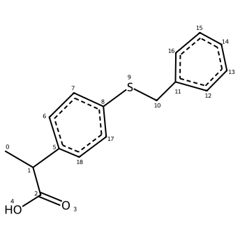 CC(C(=O)O)c1ccc(SCc2ccccc2)cc1